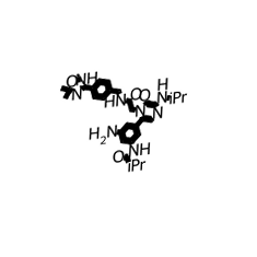 CC(C)Nc1ncc(-c2cc(N)cc(NC(=O)C(C)C)c2)n(CC(=O)NCc2ccc(C3=NC(C)(C)ON3)cc2)c1=O